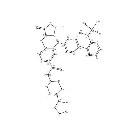 C[C@H]1CC(=O)N(Cc2ccc(C(=O)NC3CCN(C4CCCC4)CC3)cc2Oc2ccc(-c3nnccc3C(O)C(F)(F)F)cc2)C1